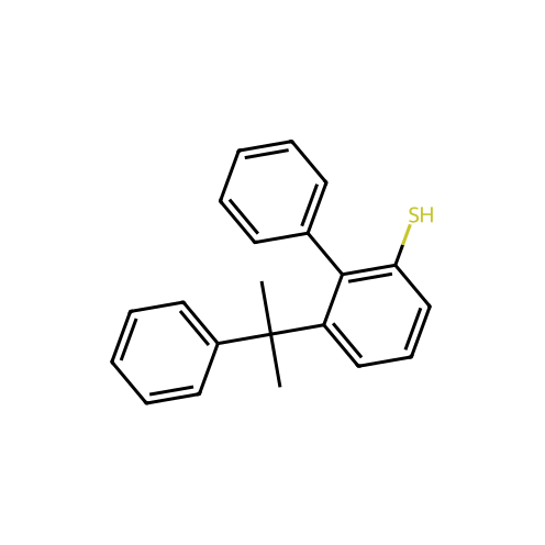 CC(C)(c1ccccc1)c1cccc(S)c1-c1ccccc1